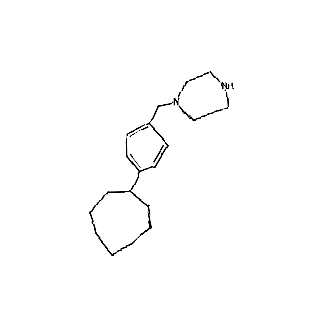 c1cc(C2CCCCCCC2)ccc1CN1CCNCC1